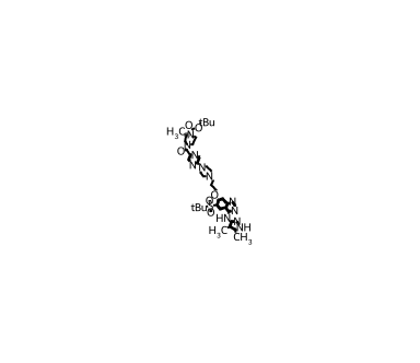 Cc1[nH]nc(Nc2ncnc3cc(OCCCN4CCN(c5cnc(C(=O)N6CCN(C(=O)OC(C)(C)C)[C@H](C)C6)cn5)CC4)c(S(=O)(=O)C(C)(C)C)cc23)c1C